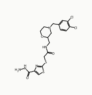 NNC(=O)c1csc(SCC(=O)NCC2CN(Cc3ccc(Cl)c(Cl)c3)CCO2)n1